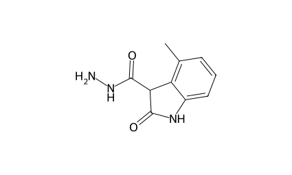 Cc1cccc2c1C(C(=O)NN)C(=O)N2